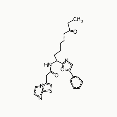 CCC(=O)CCCCCC(NC(=O)Cc1csc2nccn12)c1ncc(-c2ccccc2)o1